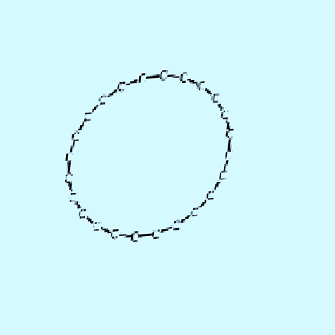 C1CCCCCCCCCCCCCCCCCCCCCCC1